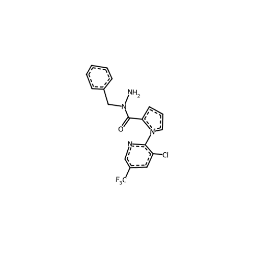 NN(Cc1ccccc1)C(=O)c1cccn1-c1ncc(C(F)(F)F)cc1Cl